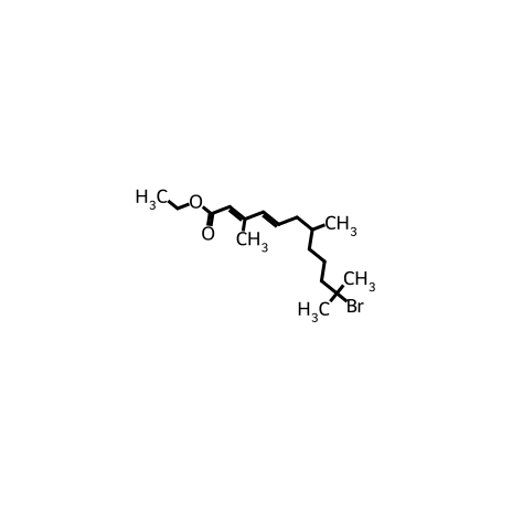 CCOC(=O)/C=C(C)/C=C/CC(C)CCCC(C)(C)Br